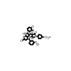 CCOc1cccc(CN2[C@H]3CN(c4ccc(C(=O)O)cc4)C(=O)[C@H]3[C@H](c3cccc(Cl)c3F)[C@]23C(=O)Nc2nc(Cl)ccc23)c1